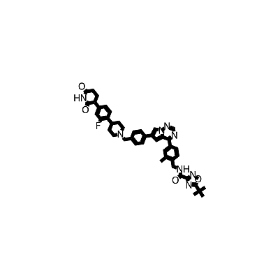 Cc1cc(-c2ncnn3cc(-c4ccc(CN5CCC(c6ccc(C7CCC(=O)NC7=O)cc6F)CC5)cc4)cc23)ccc1CNC(=O)c1noc(C(C)(C)C)n1